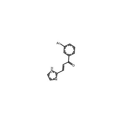 CC(=O)c1cccc(C(=O)C=Cc2ncc[nH]2)c1